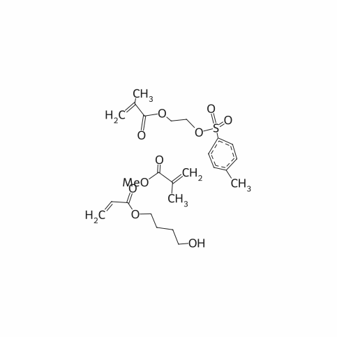 C=C(C)C(=O)OC.C=C(C)C(=O)OCCOS(=O)(=O)c1ccc(C)cc1.C=CC(=O)OCCCCO